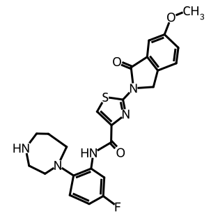 COc1ccc2c(c1)C(=O)N(c1nc(C(=O)Nc3cc(F)ccc3N3CCCNCC3)cs1)C2